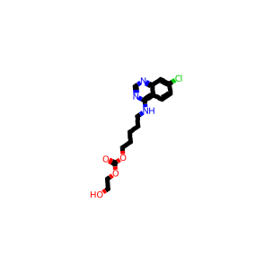 O=C(OCCO)OCCCCCNc1ncnc2cc(Cl)ccc12